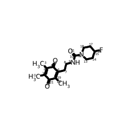 CC1=C(C)C(=O)C(CCNC(=O)N2CCC(F)CC2)=C(C)C1=O